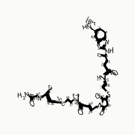 CCCN[C@H]1CCc2nc(NC(=O)CCC(=O)NCCSC3CC(=O)N(CCC(=O)NCCOCCC(=O)NCC(N)=O)C3=O)sc2C1